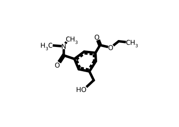 CCOC(=O)c1cc(CO)cc(C(=O)N(C)C)c1